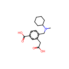 CN(Cc1ccc(C(=O)O)cc1CC(=O)O)C1CCCCC1